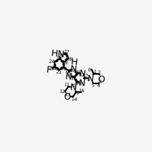 CC1COCCN1c1nc(N2CCOCC2C)c2nc(-c3cc(F)cc4[nH]ccc34)[nH]c2n1